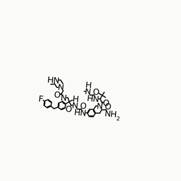 CNCC(=O)NC(C(=O)N1Cc2cc(NC(=O)CNC(=O)C3(C)CN(C(=O)CN4CCNC(C)C4)c4cc(Cc5ccc(F)cc5)ccc43)ccc2CC1C(N)=O)C(C)(C)C